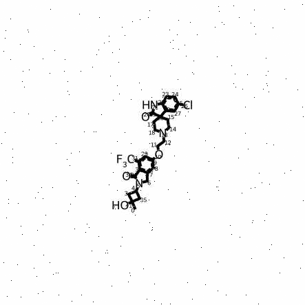 CC1(O)CC(N2Cc3cc(OCCN4CCC5(CC4)C(=O)Nc4ccc(Cl)cc45)cc(C(F)(F)F)c3C2=O)C1